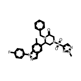 Cc1cc2c(cnn2-c2ccc(F)cc2)cc1C1CN(S(=O)(=O)c2cnn(C)n2)CC(=O)N1Cc1ccccc1